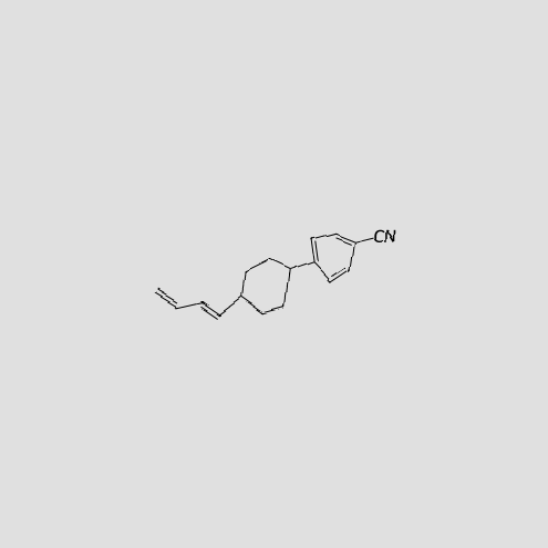 C=C/C=C/C1CCC(c2ccc(C#N)cc2)CC1